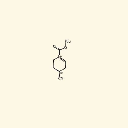 CC(C)(C)OC(=O)[N+]1=CC[C@@H](C#N)CC1